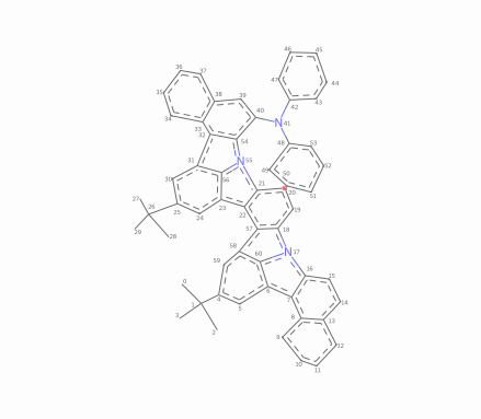 CC(C)(C)c1cc2c3c4ccccc4ccc3n3c4ccc5c(c6cc(C(C)(C)C)cc7c8c9ccccc9cc(N(c9ccccc9)c9ccccc9)c8n5c67)c4c(c1)c23